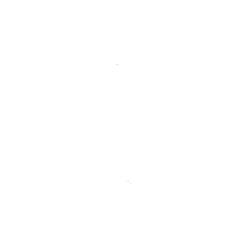 c1ccc([Si](c2ccccc2)(c2ccccc2)c2ccc3c(c2)-c2ccccc2-c2ccc(-n4c5ccccc5c5ccccc54)cc2-c2ccccc2-3)cc1